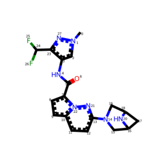 Cn1cc(NC(=O)c2ccc3ccc(N4CC5CC(C4)N5)nn23)c(C(F)F)n1